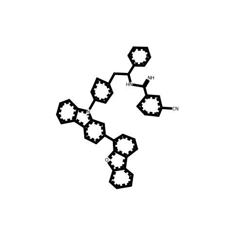 N#Cc1cccc(C(=N)NC(Cc2ccc(-n3c4ccccc4c4ccc(-c5cccc6c5oc5ccccc56)cc43)cc2)c2ccccc2)c1